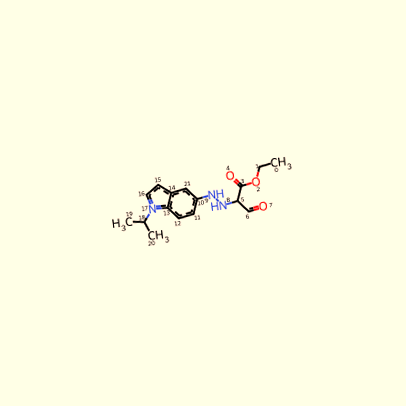 CCOC(=O)C(C=O)NNc1ccc2c(ccn2C(C)C)c1